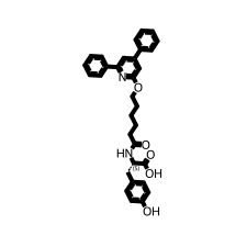 O=C(CCCCCOc1cc(-c2ccccc2)cc(-c2ccccc2)n1)N[C@@H](Cc1ccc(O)cc1)C(=O)O